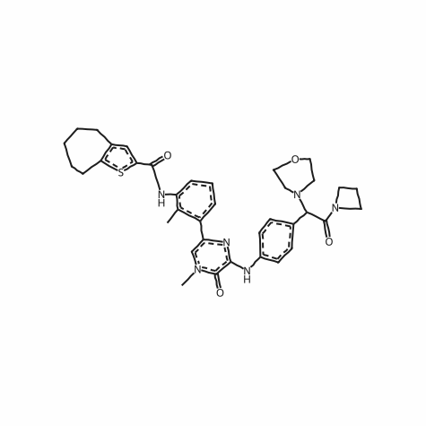 Cc1c(NC(=O)c2cc3c(s2)CCCCC3)cccc1-c1cn(C)c(=O)c(Nc2ccc(C(C(=O)N3CCC3)N3CCOCC3)cc2)n1